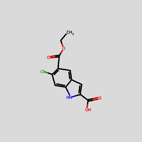 CCOC(=O)c1cc2cc(C(=O)O)[nH]c2cc1Cl